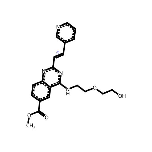 COC(=O)c1ccc2nc(/C=C/c3cccnc3)nc(NCCOCCO)c2c1